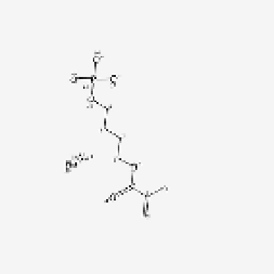 C=C(C)C(=O)OCCCCOP(=O)([O-])[O-].[Na+].[Na+]